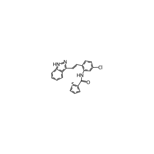 O=C(Nc1cc(Cl)ccc1/C=C/c1n[nH]c2ccccc12)c1cccs1